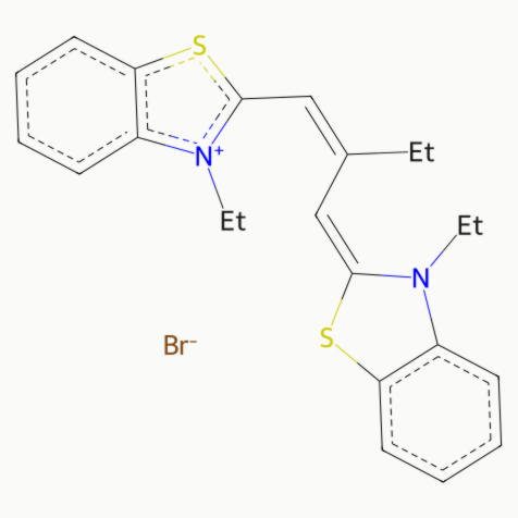 CCC(=Cc1sc2ccccc2[n+]1CC)C=C1Sc2ccccc2N1CC.[Br-]